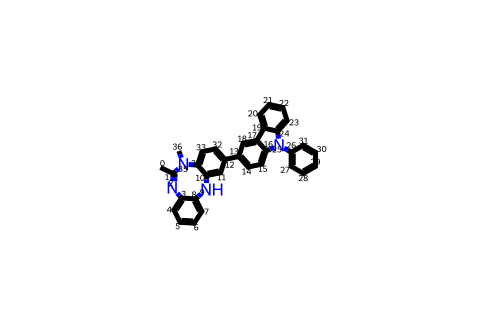 Cc1nc2ccccc2[nH]c2cc(-c3ccc4c(c3)c3ccccc3n4-c3ccccc3)ccc2n1C